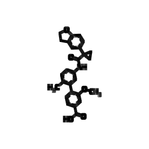 COc1cc(C(=O)O)ccc1-c1cc(NC(=O)C2(c3ccc4c(c3)CCO4)CC2)ccc1C